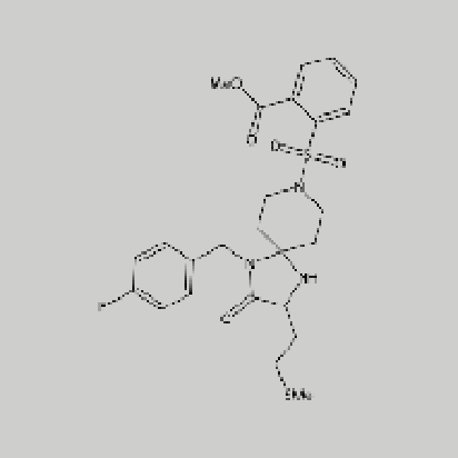 COC(=O)c1ccccc1S(=O)(=O)N1CCC2(CC1)NC(CCSC)C(=O)N2Cc1ccc(F)cc1